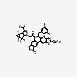 CSc1nc2nc(C(Cc3cc(F)cc(F)c3)NC(=O)Cn3nc(C(F)F)c4c3C(F)(F)[C@@H]3C[C@H]43)c(-c3ccc4c(c3)C(=O)CC4)cc2s1